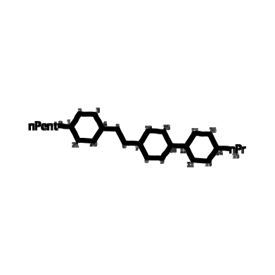 CCCCCC1CCC(CCC2CCC(C3CCC(CCC)CC3)CC2)CC1